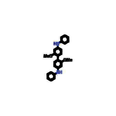 COc1cc(Nc2ccccc2)ccc1-c1ccc(Nc2ccccc2)cc1OC